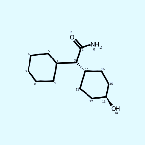 NC(=O)C(C1CCCCC1)[C@H]1CC[C@H](O)CC1